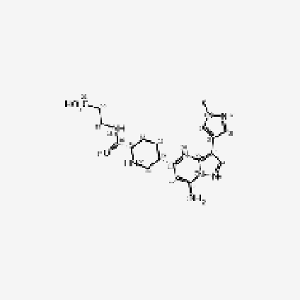 Cn1cc(-c2cnn3c(N)cc([C@H]4CC[C@@H](C(=O)NCCC(=O)O)NC4)nc23)cn1